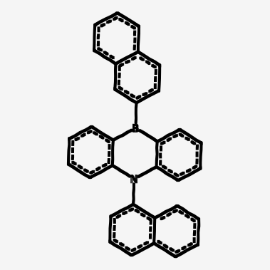 c1ccc2c(c1)B(c1ccc3ccccc3c1)c1ccccc1N2c1cccc2ccccc12